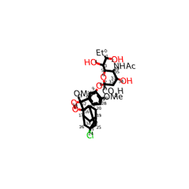 CCC(O)C(O)C1OC(Oc2cc(C3(OC)OOC34C3CC5CC4CC(Cl)(C5)C3)ccc2OC)(C(=O)O)CC(O)C1NC(C)=O